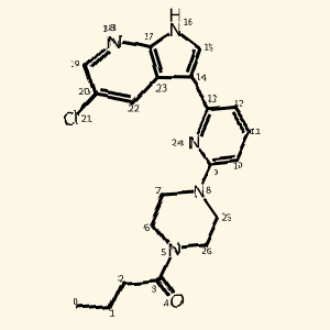 CCCC(=O)N1CCN(c2cccc(-c3c[nH]c4ncc(Cl)cc34)n2)CC1